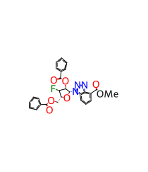 COC(=O)c1cccc2c1nnn2[C@@H]1O[C@H](COC(=O)c2ccccc2)[C@@H](F)[C@H]1OC(=O)c1ccccc1